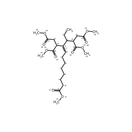 CCC(/C(=C/CCCCCCC(=O)OC)C(CC(=O)OC)C(=O)OC)C(CC(=O)OC)C(=O)OC